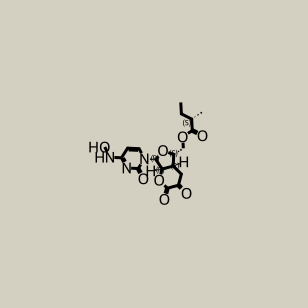 CC[C@H](C)C(=O)OC[C@H]1O[C@@H](n2ccc(NO)nc2=O)[C@@H]2OC(=O)C(=O)C[C@@H]21